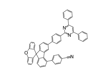 N#Cc1ccc(-c2cccc3c2-c2cc(-c4ccc(-c5nc(-c6ccccc6)cc(-c6ccccc6)n5)cc4)ccc2C32c3ccccc3Oc3ccccc32)cc1